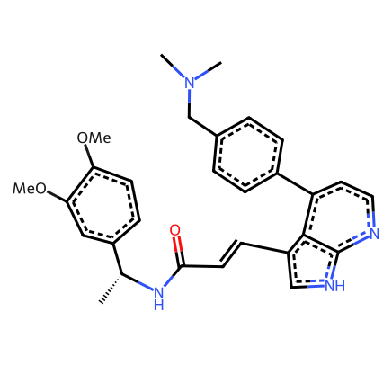 COc1ccc([C@@H](C)NC(=O)/C=C/c2c[nH]c3nccc(-c4ccc(CN(C)C)cc4)c23)cc1OC